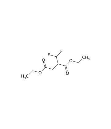 CCOC(=O)CC(C(=O)OCC)C(F)F